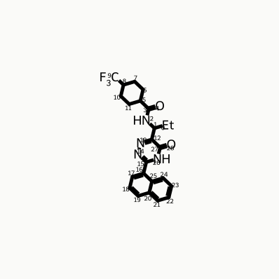 CCC(NC(=O)C1CCC(C(F)(F)F)CC1)c1nnc(-c2cccc3ccccc23)[nH]c1=O